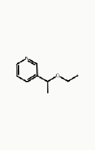 CCOC(C)c1cccnc1